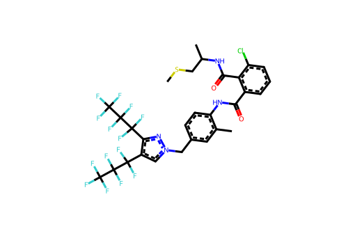 CSCC(C)NC(=O)c1c(Cl)cccc1C(=O)Nc1ccc(Cn2cc(C(F)(F)C(F)(F)C(F)(F)F)c(C(F)(F)C(F)(F)C(F)(F)F)n2)cc1C